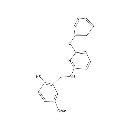 COc1ccc(S)c(CNc2cccc(Oc3cccnc3)n2)c1